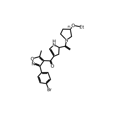 C=C(C1CC(C(=O)c2c(-c3ccc(Br)cc3)noc2C)=CN1)N1CC[C@@H](OCC)C1